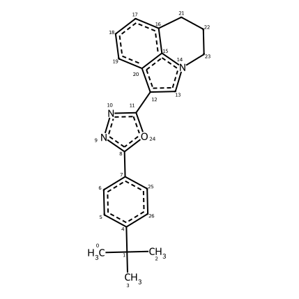 CC(C)(C)c1ccc(-c2nnc(-c3cn4c5c(cccc35)CCC4)o2)cc1